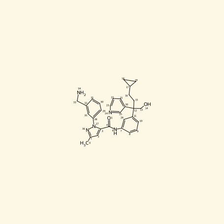 Cc1cc(C(=O)Nc2cccc(C(CO)(CCC3CC3)c3cccnc3)c2)n(-c2cccc(CN)c2)n1